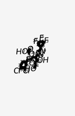 O=C(O)COC1C(n2cc(-c3cc(F)c(F)c(F)c3)nn2)[C@@H](O)C(CO)O[C@@H]1Sc1ccc(Cl)c(Cl)c1